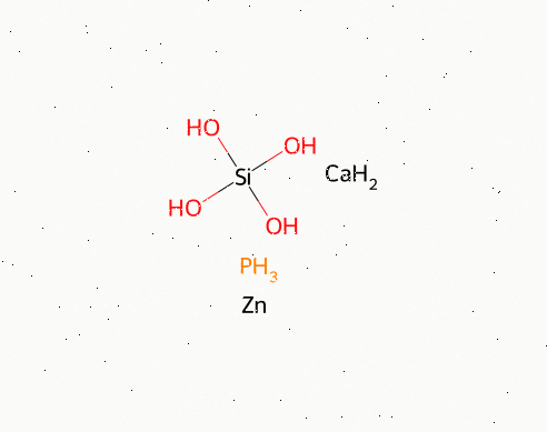 O[Si](O)(O)O.P.[CaH2].[Zn]